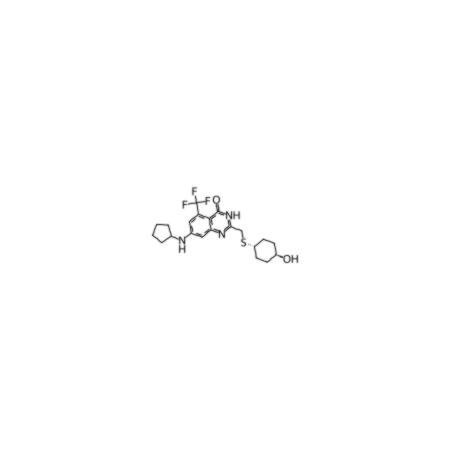 O=c1[nH]c(CS[C@H]2CC[C@H](O)CC2)nc2cc(NC3CCCC3)cc(C(F)(F)F)c12